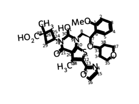 COc1ccccc1[C@H](CN1c2sc(-c3ncco3)c(C)c2C(=O)N([C@H]2C[C@](C)(C(=O)O)C2)C1O)OC1CCOCC1